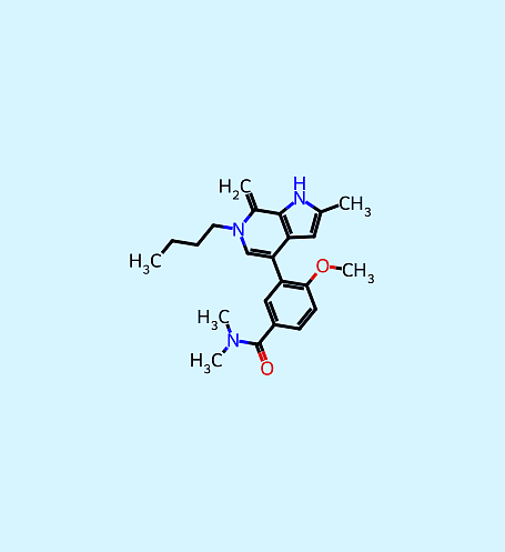 C=C1c2[nH]c(C)cc2C(c2cc(C(=O)N(C)C)ccc2OC)=CN1CCCC